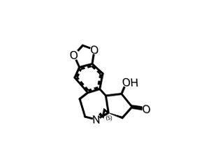 O=C1C[C@]23CCCN2CCc2cc4c(cc2C3C1O)OCO4